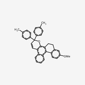 COc1ccc2c(c1)CCc1c3c(c4ccccc4c1-2)C=CC(c1ccc(C)cc1)(c1ccc(C)cc1)O3